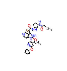 C=CC(=O)N[C@@H]1CC[C@@H](NC(=O)c2sc3nccc4c3c2NC(=O)N4c2cnc(Oc3ccccc3)cc2C)C1